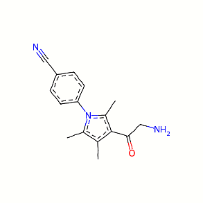 Cc1c(C(=O)CN)c(C)n(-c2ccc(C#N)cc2)c1C